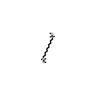 CO[Si](C)(C)CCCCCCCCCC[Si](C)(C)OC